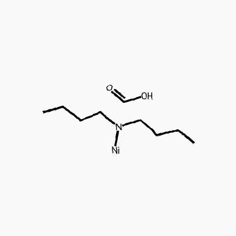 CCCC[N]([Ni])CCCC.O=CO